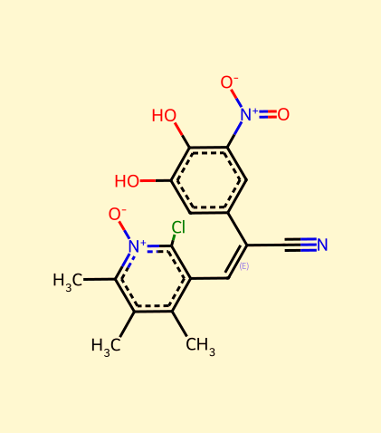 Cc1c(C)c(C)[n+]([O-])c(Cl)c1/C=C(/C#N)c1cc(O)c(O)c([N+](=O)[O-])c1